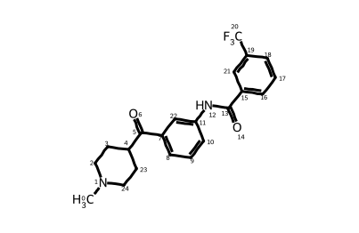 CN1CCC(C(=O)c2cccc(NC(=O)c3cccc(C(F)(F)F)c3)c2)CC1